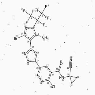 Cn1c(C(F)(C(F)(F)F)C(F)(F)F)cc(Br)c1-c1cc(-c2ccc(Cl)c(C(=O)NC3(C#N)CC3)c2)on1